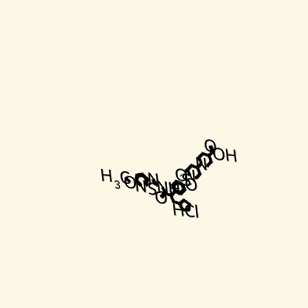 COc1ccc2nc(NC(=O)C(CC3CCCC3)c3ccc(S(=O)(=O)N4CCC(N5CCC(C(=O)O)CC5)CC4)cc3)sc2n1.Cl